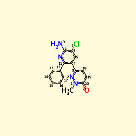 Cn1nc(-c2cc(Cl)c(N)nc2-c2ccccc2)ccc1=O